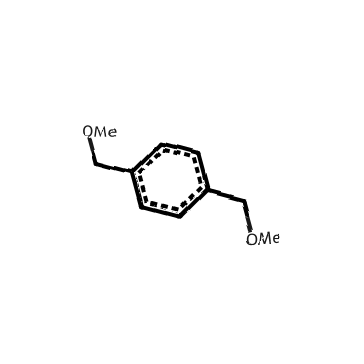 [CH2-][OH+]Cc1ccc(C[OH+][CH2-])cc1